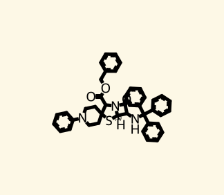 O=C(OCc1ccccc1)C1N2C(=O)C(NC(c3ccccc3)(c3ccccc3)c3ccccc3)[C@@H]2SC12CCN(c1ccccc1)CC2